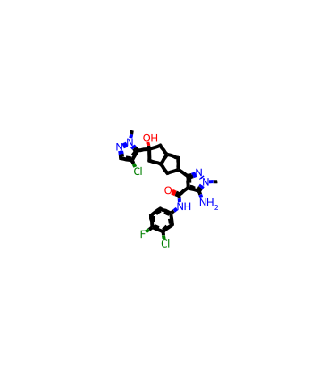 Cn1nc(C2CC3CC(O)(c4c(Cl)cnn4C)CC3C2)c(C(=O)Nc2ccc(F)c(Cl)c2)c1N